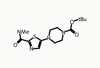 CNC(=O)c1ncc(N2CCN(C(=O)OC(C)(C)C)CC2)s1